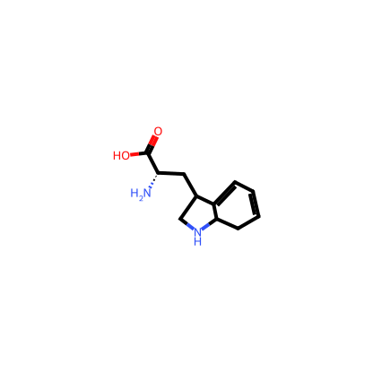 N[C@@H](CC1CNC2CC=CC=C12)C(=O)O